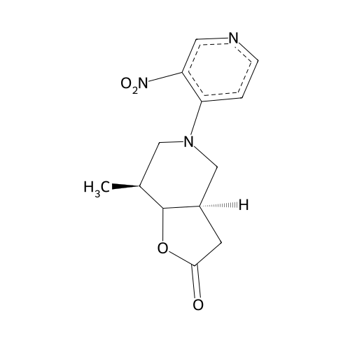 C[C@H]1CN(c2ccncc2[N+](=O)[O-])C[C@H]2CC(=O)OC21